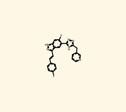 Fc1ccc(C=Cc2n[nH]c3cc(F)c(-c4nnc(Cc5cccnc5)[nH]4)cc23)cc1